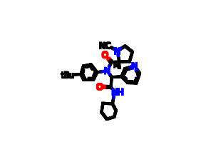 CC(C)(C)c1ccc(N(C(=O)[C@@]2(C)CCCN2C#N)C(C(=O)NC2CCCCC2)c2cccnc2)cc1